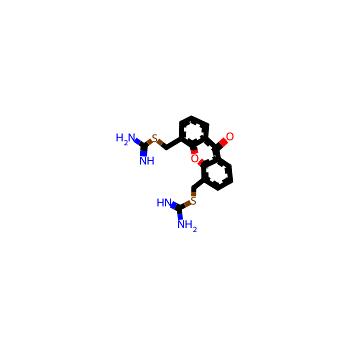 N=C(N)SCc1cccc2c(=O)c3cccc(CSC(=N)N)c3oc12